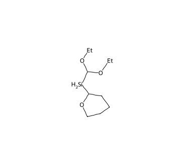 CCOC(OCC)[SiH2]C1CCCCO1